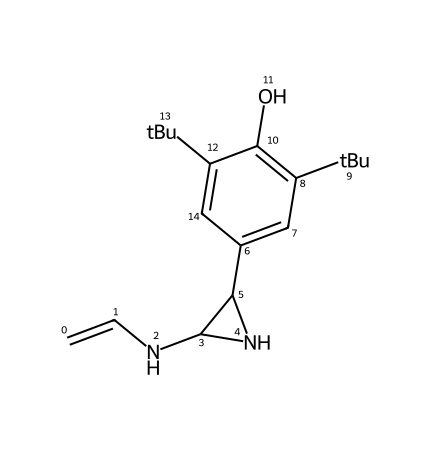 C=CNC1NC1c1cc(C(C)(C)C)c(O)c(C(C)(C)C)c1